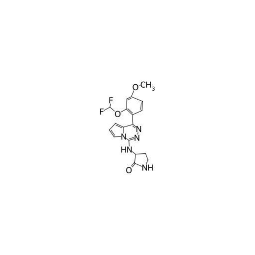 COc1ccc(-c2nnc(NC3CCNC3=O)n3cccc23)c(OC(F)F)c1